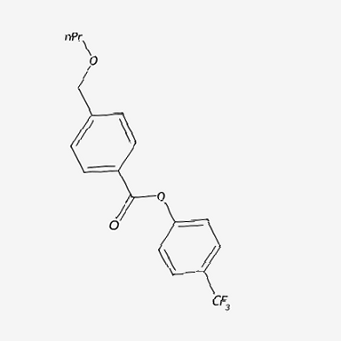 CCCOCc1ccc(C(=O)Oc2ccc(C(F)(F)F)cc2)cc1